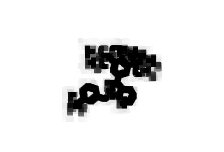 CC(C)(C)c1cc(-c2nn(Cc3cccc(C(F)(F)F)c3)c3ncccc23)cc(C(C)(C)C)c1O